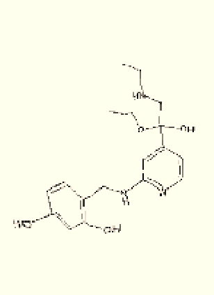 CCNCC(O)(OCC)c1ccnc(NCc2ccc(O)cc2O)c1